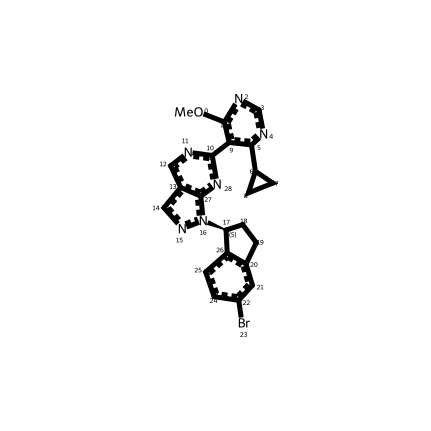 COc1ncnc(C2CC2)c1-c1ncc2cnn([C@H]3CCc4cc(Br)ccc43)c2n1